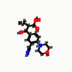 CC(C(=O)O)C(=O)c1ccc(N2CCOCC2)c(C#N)c1